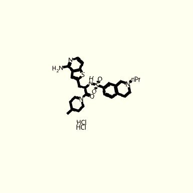 CCCN1CCc2ccc(S(=O)(=O)NC(Cc3cc4c(N)nccc4s3)C(=O)N3CCC(C)CC3)cc2C1.Cl.Cl